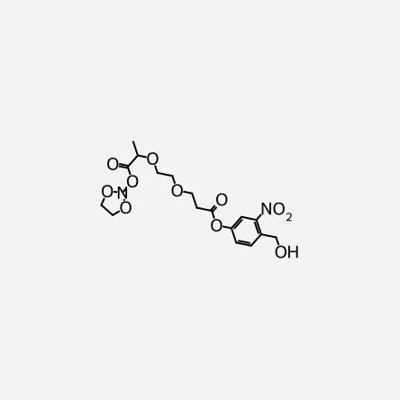 CC(OCCOCCC(=O)Oc1ccc(CO)c([N+](=O)[O-])c1)C(=O)ON1OCCO1